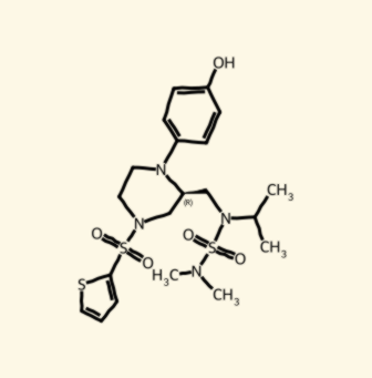 CC(C)N(C[C@H]1CN(S(=O)(=O)c2cccs2)CCN1c1ccc(O)cc1)S(=O)(=O)N(C)C